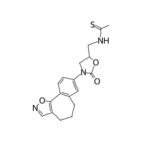 CC(=S)NCC1CN(c2ccc3c(c2)CCCc2cnoc2-3)C(=O)O1